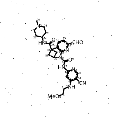 COCCNc1cc(NC(=O)N2c3nc(C=O)ccc3C3(C(=O)NC4CCN(C)CC4)CC2C3)ncc1C#N